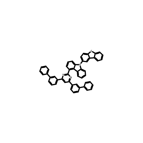 c1ccc(-c2cccc(-c3cc(-c4cccc(-c5ccccc5)c4)nc(-c4cccc5c4c4ccccc4n5-c4ccc5sc6ccccc6c5c4)n3)c2)cc1